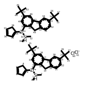 C[SiH](C)[Zr+]([C]1=CC=CC1)[c]1cc(C(C)(C)C)cc2c1Cc1ccc(C(C)(C)C)cc1-2.C[SiH](C)[Zr+]([C]1=CC=CC1)[c]1cc(C(C)(C)C)cc2c1Cc1ccc(C(C)(C)C)cc1-2.[Cl-].[Cl-]